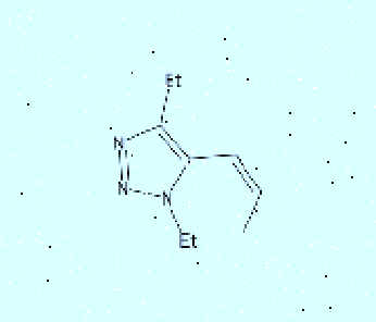 C/C=C\c1c(CC)nnn1CC